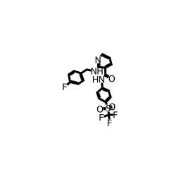 O=C(Nc1ccc(S(=O)(=O)C(F)(F)F)cc1)c1cccnc1NCc1ccc(F)cc1